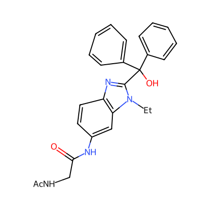 CCn1c(C(O)(c2ccccc2)c2ccccc2)nc2ccc(NC(=O)CNC(C)=O)cc21